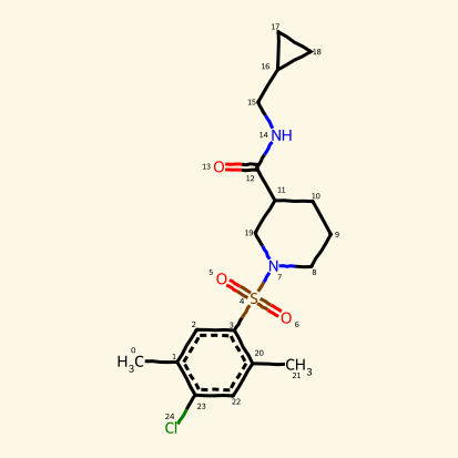 Cc1cc(S(=O)(=O)N2CCCC(C(=O)NCC3CC3)C2)c(C)cc1Cl